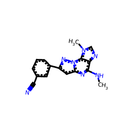 CNc1nc2cc(-c3cccc(C#N)c3)nn2c2c1ncn2C